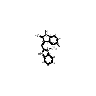 Cn1c(C=C2C(=O)Nc3ccc(I)cc32)nc2ccccc21